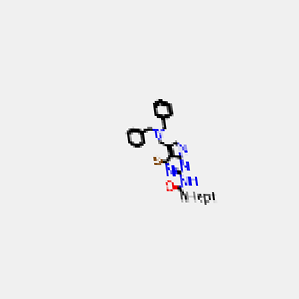 CCCCCCCC(=O)NC1=NC(=S)C2=C(CN(Cc3ccccc3)Cc3ccccc3)C=NC2=N1